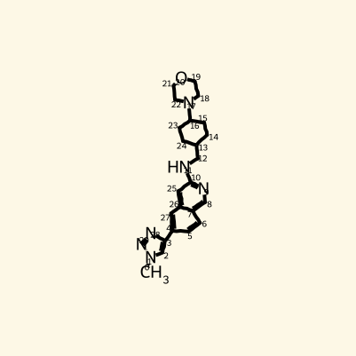 Cn1cc(-c2ccc3cnc(NCC4CCC(N5CCOCC5)CC4)cc3c2)nn1